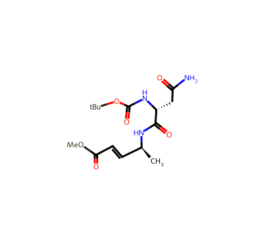 COC(=O)/C=C/[C@H](C)NC(=O)[C@@H](CC(N)=O)NC(=O)OC(C)(C)C